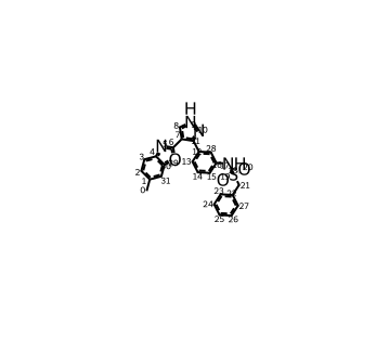 Cc1ccc2nc(-c3c[nH]nc3-c3cccc(NS(=O)(=O)Cc4ccccc4)c3)oc2c1